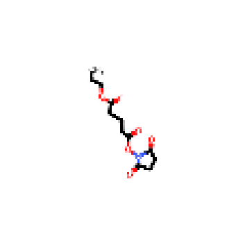 CCCOC(=O)CCCC(=O)ON1C(=O)CCC1=O